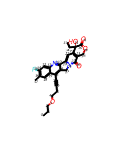 CCCOCCC#Cc1c2c(nc3cc(F)c(C)cc13)-c1cc3c(c(=O)n1C2)COC(=O)[C@]3(O)CC